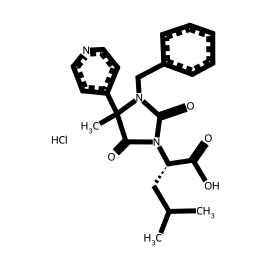 CC(C)C[C@@H](C(=O)O)N1C(=O)N(Cc2ccccc2)C(C)(c2ccncc2)C1=O.Cl